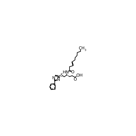 CCCCCC/C=C/CC(=O)N[C@@H](CCC(=O)O)CSn1cnc(-c2ccccc2)n1